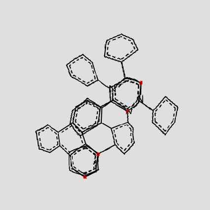 c1ccc(-c2cc(-c3ccccc3)nc(-c3ccc4c5ccccc5c5ccccc5c4c3-c3c(-c4ccccc4)cccc3-c3nccc(-c4ccccc4)c3-c3ccccc3)n2)cc1